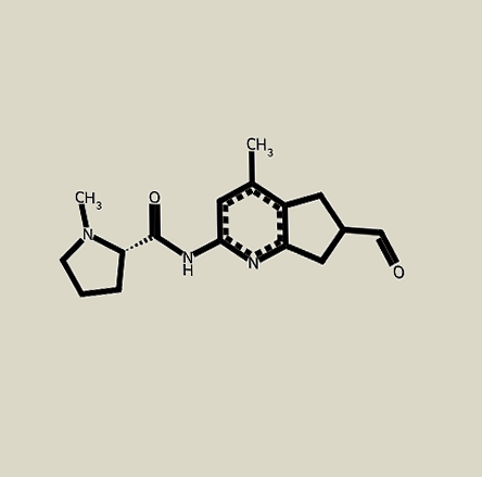 Cc1cc(NC(=O)[C@@H]2CCCN2C)nc2c1CC(C=O)C2